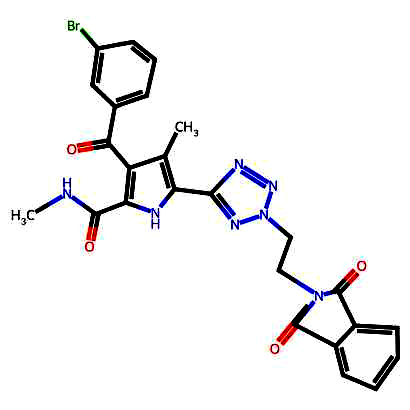 CNC(=O)c1[nH]c(-c2nnn(CCN3C(=O)c4ccccc4C3=O)n2)c(C)c1C(=O)c1cccc(Br)c1